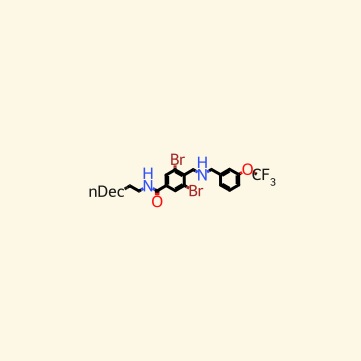 CCCCCCCCCCCCNC(=O)c1cc(Br)c(CNCc2cccc(OC(F)(F)F)c2)c(Br)c1